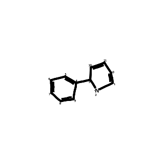 C1=C[N]C(c2ccccc2)C=C1